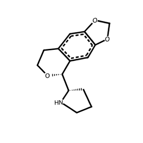 c1c2c(cc3c1OCO3)[C@H]([C@@H]1CCCN1)OCC2